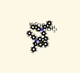 CC1(C)c2ccccc2-c2ccc(N(c3ccc(-c4cccc5c4-c4ccc(N(c6ccc(-c7ccccc7)cc6)c6ccc(-c7ccccc7)cc6)cc4C5(c4ccccc4)c4ccccc4)cc3)c3ccc4c(c3)C(C)(C)c3ccccc3-4)cc21